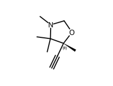 C#C[C@@]1(C)OCN(C)C1(C)C